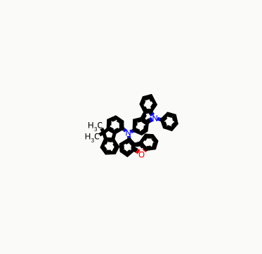 CC1(C)c2ccccc2-c2c(N(c3ccc4c(c3)c3ccccc3n4-c3ccccc3)c3cccc4oc5ccccc5c34)cccc21